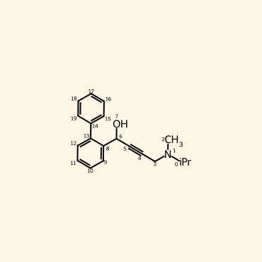 CC(C)N(C)CC#CC(O)c1ccccc1-c1ccccc1